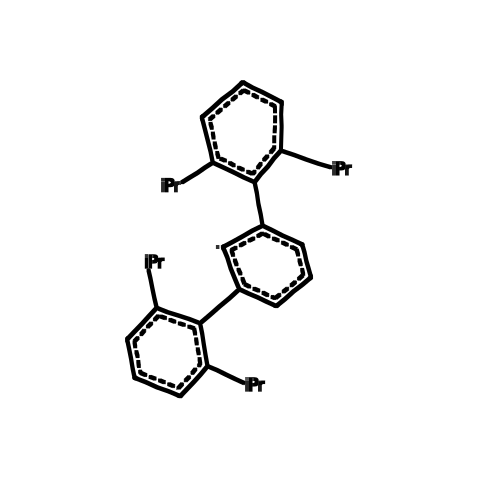 CC(C)c1cccc(C(C)C)c1-c1[c]c(-c2c(C(C)C)cccc2C(C)C)ccc1